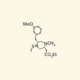 CCOC(=O)C[C@H]1CN(SI)[C@@H](Cc2cccc(OC)c2)CN1C